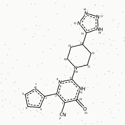 N#Cc1c(-c2cccs2)nc(N2CCC(c3nnn[nH]3)CC2)[nH]c1=O